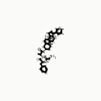 CC(NC(=O)C(Cc1ccccc1)NC(=O)CN)C(=O)O[C@H]1CC[C@@]2(C)C(=CC[C@@H]3[C@@H]2CC[C@]2(C)C(c4cccnc4)=CC[C@@H]32)C1